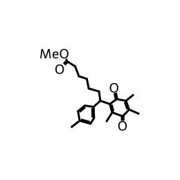 COC(=O)CCCCCC(C1=C(C)C(=O)C(C)=C(C)C1=O)c1ccc(C)cc1